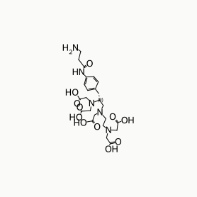 NCCC(=O)Nc1ccc(C[C@H](CN(CCN(CC(=O)O)CC(=O)O)CC(=O)O)N(CC(=O)O)CC(=O)O)cc1